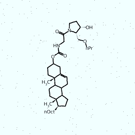 CCCCCCCC[C@@H]1CCC2C3CC=C4CC(OC(=O)NCC(=O)N5CC[C@H](O)[C@@H]5COCCC)CC[C@@]4(C)C3CC[C@]21C